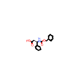 O=C(O)C[C@@H](NC(=O)OCc1ccccc1)c1ccccc1